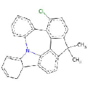 CC1(C)c2ccc(Cl)c3c2-c2c1ccc1c2N(C2=CC=CCC21)c1ccccc1-3